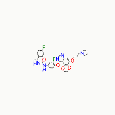 CC(NC(=O)Nc1ccc(Oc2ncnc3cc(OCCCN4CCCC4)c4c(c23)OCCO4)c(F)c1)c1ccc(F)cc1